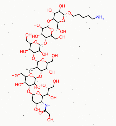 CC1[C@H](O[C@@H]2C(O)[C@@H](O[C@H]3C(CO)O[C@@H](O[C@@H]4C(CO)O[C@@H](OCCCCCN)C(O)[C@H]4O)C(O)[C@H]3O)OC(CO)[C@@H]2O)OC(CO)[C@H](O)[C@@H]1O[C@@H]1OC(CO)[C@H](O)[C@H](O[C@@H]2C[C@@H](O)[C@@H](NC(=O)CO)C([C@H](O)[C@H](O)CO)O2)C1O